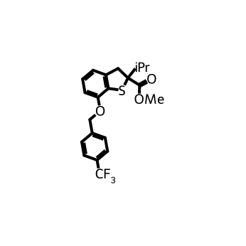 COC(=O)C1(C(C)C)Cc2cccc(OCc3ccc(C(F)(F)F)cc3)c2S1